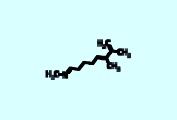 C=C(C)/C(C)=C/CCC/C=N/C